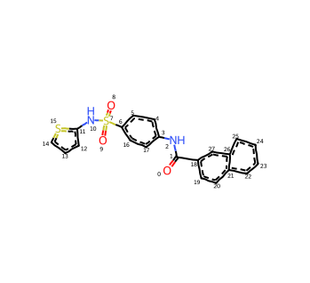 O=C(Nc1ccc(S(=O)(=O)Nc2cccs2)cc1)c1ccc2ccccc2c1